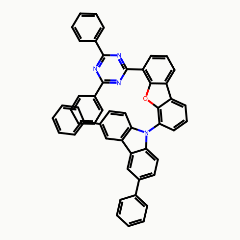 c1ccc(-c2ccc3c(c2)c2cc(-c4ccccc4)ccc2n3-c2cccc3c2oc2c(-c4nc(-c5ccccc5)nc(-c5ccccc5)n4)cccc23)cc1